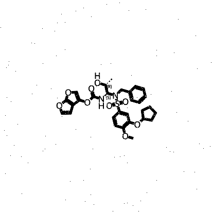 COc1ccc(S(=O)(=O)N(Cc2ccccc2)[C@H](NC(=O)Oc2coc3occc23)[C@@H](C)O)cc1OC1CCCC1